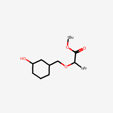 CCCC(OCC1CCCC(O)C1)C(=O)OC(C)(C)C